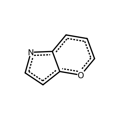 c1coc2ccnc-2c1